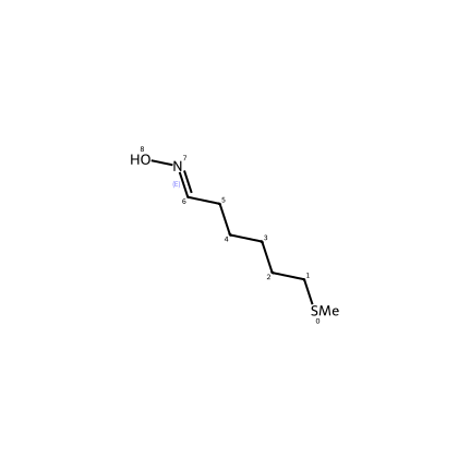 CSCCCCC/C=N/O